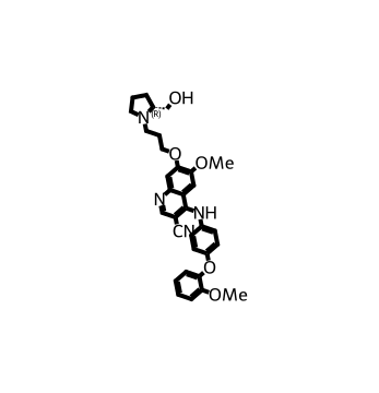 COc1cc2c(Nc3ccc(Oc4ccccc4OC)cc3)c(C#N)cnc2cc1OCCCN1CCC[C@@H]1CO